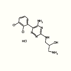 Cl.NCC(O)CNc1nnc(-c2cccc(Cl)c2Cl)c(N)n1